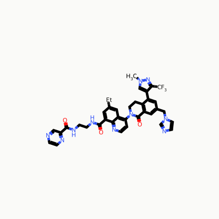 CCc1cc(C(=O)NCCNC(=O)c2cnccn2)c2nccc(N3CCc4c(cc(Cn5ccnc5)cc4-c4cn(C)nc4C(F)(F)F)C3=O)c2c1